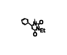 CCn1c(=O)cc(-c2ccccc2)n(C)c1=O